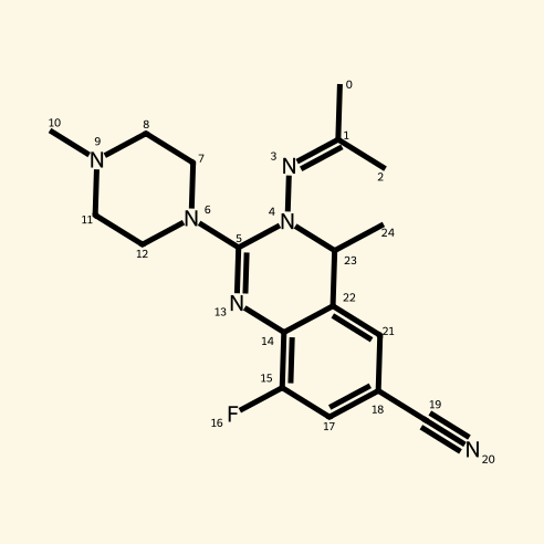 CC(C)=NN1C(N2CCN(C)CC2)=Nc2c(F)cc(C#N)cc2C1C